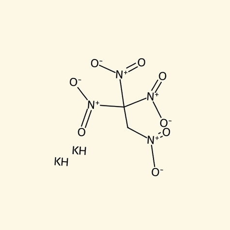 O=[N+]([O-])CC([N+](=O)[O-])([N+](=O)[O-])[N+](=O)[O-].[KH].[KH]